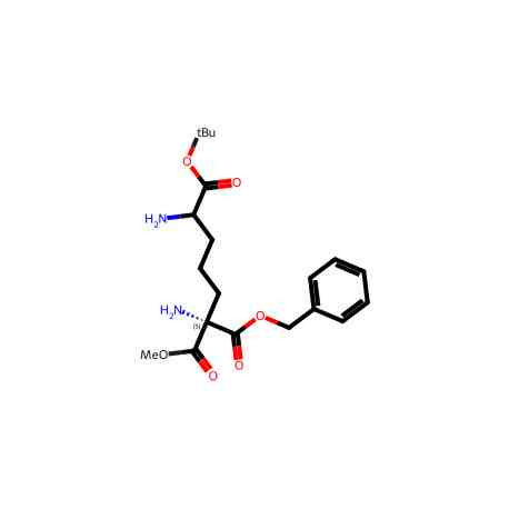 COC(=O)[C@@](N)(CCCC(N)C(=O)OC(C)(C)C)C(=O)OCc1ccccc1